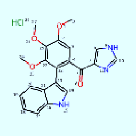 COc1cc(C(=O)c2c[nH]cn2)c(-c2c[nH]c3ccccc23)c(OC)c1OC.Cl